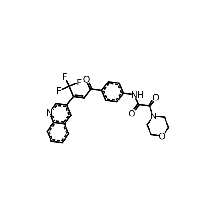 O=C(Nc1ccc(C(=O)C=C(c2cnc3ccccc3c2)C(F)(F)F)cc1)C(=O)N1CCOCC1